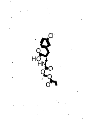 CCC(=O)O[C@H](C)OC(=O)NC[C@H](Cc1cccc(Cl)c1)C(=O)O